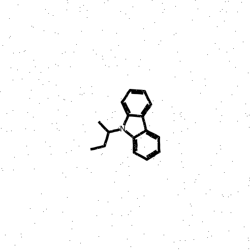 CCC(C)n1c2ccccc2c2ccccc21